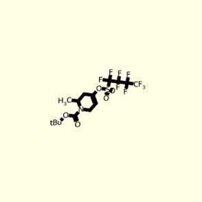 CC1CC(OS(=O)(=O)C(F)(F)C(F)(F)C(F)(F)C(F)(F)F)=CCN1C(=O)OC(C)(C)C